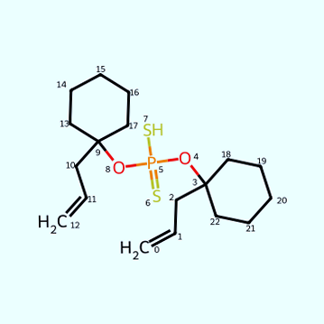 C=CCC1(OP(=S)(S)OC2(CC=C)CCCCC2)CCCCC1